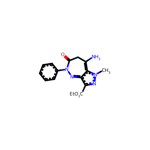 CCOC(=O)c1nn(C)c2c1=NN(c1ccccc1)C(=O)CC=2N